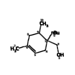 CCCCC1(CO)CC=C(C)CC1C